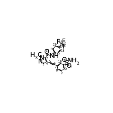 Cn1ncc(C#Cc2cccc(S(N)(=O)=O)c2)c1C(=O)Nc1ccc(C(F)(F)F)cc1